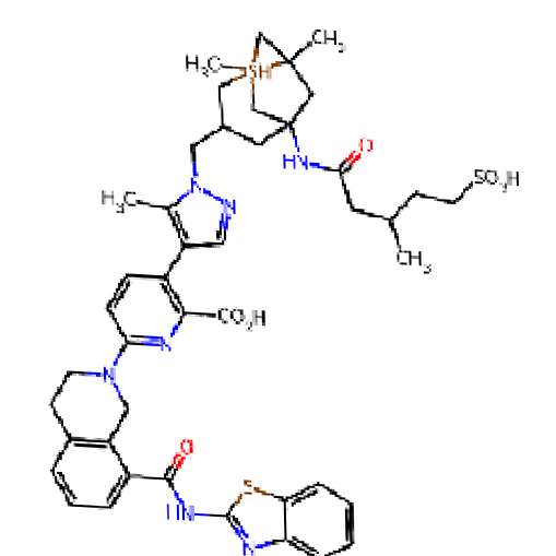 Cc1c(-c2ccc(N3CCc4cccc(C(=O)Nc5nc6ccccc6s5)c4C3)nc2C(=O)O)cnn1CC1CC2(NC(=O)CC(C)CCS(=O)(=O)O)CC3(C)C[SH]3(C)(C1)C2